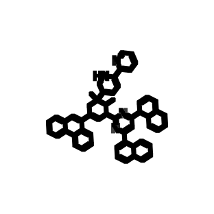 CC1C(c2nc(C3=CC=CC4C=CC=CC34)cc(C3C=CC=C4C=CC=CC43)n2)C=C(c2cc3ccccc3c3ccccc23)CC1(C)C1=CC=C(c2ccccn2)NC1